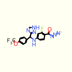 [N-]=[N+]=NC(=O)c1ccc(NC(c2ccc(OC(F)(F)F)cc2)c2nc[nH]n2)cc1F